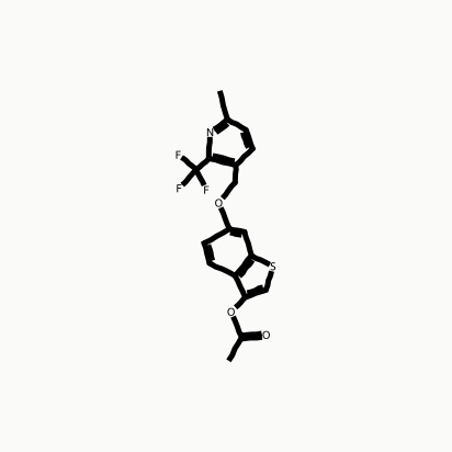 CC(=O)Oc1csc2cc(OCc3ccc(C)nc3C(F)(F)F)ccc12